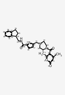 Cc1cc(=O)oc(C)c1C(=O)N1CCN(Cc2ccc(C(=O)NCC3CCc4ccccc43)s2)CC1